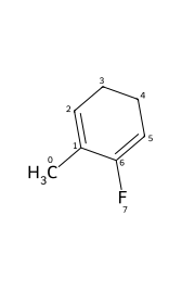 CC1=CCCC=C1F